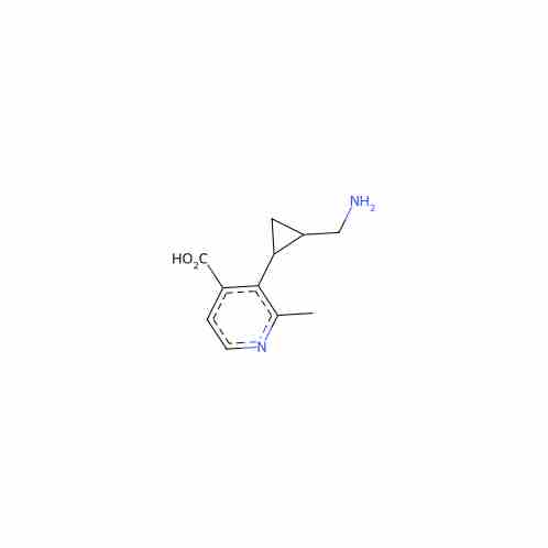 Cc1nccc(C(=O)O)c1C1CC1CN